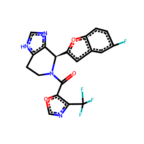 O=C(c1ocnc1C(F)(F)F)N1CCc2[nH]cnc2[C@H]1c1cc2cc(F)ccc2o1